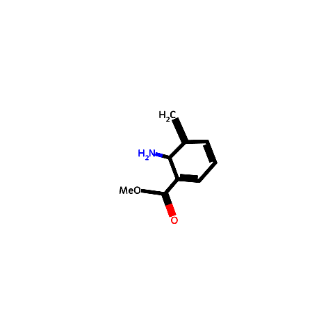 C=C1C=CC=C(C(=O)OC)C1N